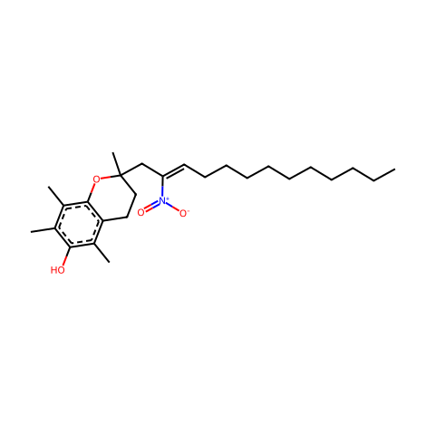 CCCCCCCCCCC=C(CC1(C)CCc2c(C)c(O)c(C)c(C)c2O1)[N+](=O)[O-]